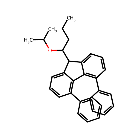 CCCC(OC(C)C)C1c2cccc(-c3ccccc3)c2-c2c(-c3ccccc3)cccc21